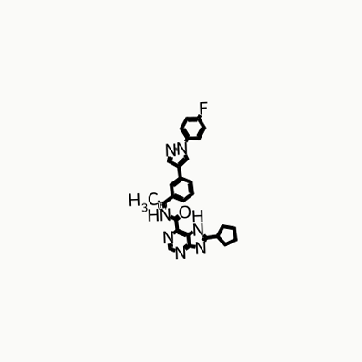 C[C@@H](NC(=O)c1ncnc2nc(C3CCCC3)[nH]c12)c1cccc(-c2cnn(-c3ccc(F)cc3)c2)c1